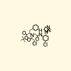 CC(C)(C)OC(=O)C(Cc1ccccc1)N(CC(=O)Nc1cc(Cl)ccc1-n1ccnn1)C(=O)CCl